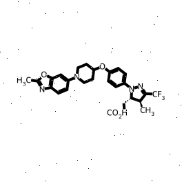 Cc1nc2ccc(N3CCC(Oc4ccc(N5N=C(C(F)(F)F)[C@@H](C)[C@@H]5CC(=O)O)cc4)CC3)cc2o1